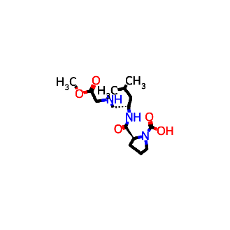 COC(=O)CNC[C@H](CC(C)C)NC(=O)[C@@H]1CCCN1C(=O)O